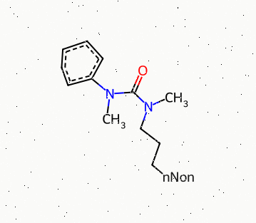 CCCCCCCCCCCCN(C)C(=O)N(C)c1ccccc1